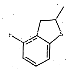 CC1Cc2c(F)cccc2S1